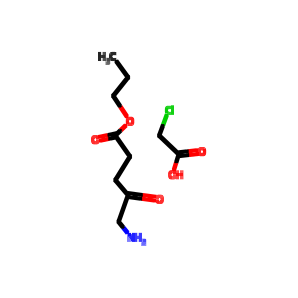 CCCOC(=O)CCC(=O)CN.O=C(O)CCl